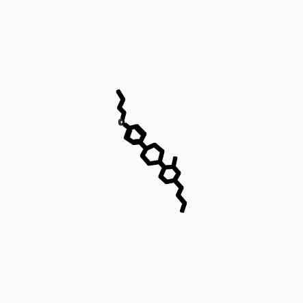 CCCCOc1ccc(C2CCC(C3CCC(CCCC)CC3C)CC2)cc1